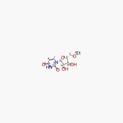 CCOC[C@H]1O[C@@H](n2ccc(=O)[nH]c2=O)[C@@H](O)C1O